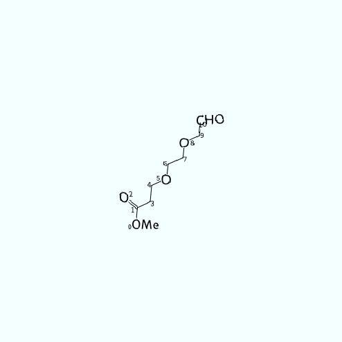 COC(=O)CCOCCOCC=O